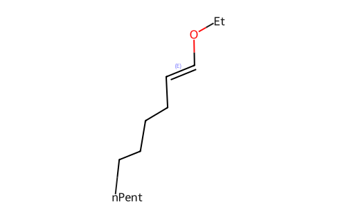 CCCCCCCCC/C=C/OCC